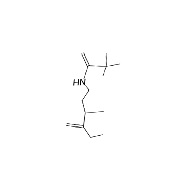 C=C(CC)C(C)CCNC(=C)C(C)(C)C